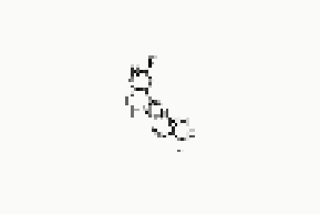 N=C(/C=C\c1ncc(-c2cc(F)ncc2F)[nH]1)C(F)F